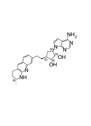 C[C@@H]1CCc2cc3ccc(CC[C@H]4C[C@@H](n5ccc6c(N)ncnc65)[C@H](O)[C@@H]4O)cc3nc2N1